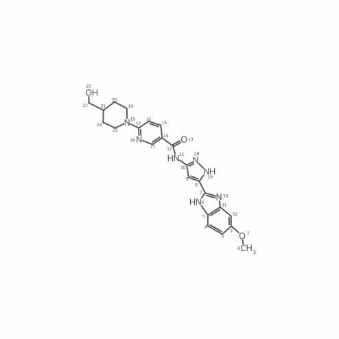 COc1ccc2[nH]c(-c3cc(NC(=O)c4ccc(N5CCC(CO)CC5)nc4)n[nH]3)nc2c1